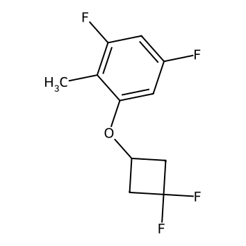 Cc1c(F)cc(F)cc1OC1CC(F)(F)C1